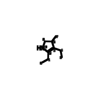 CCC1=C(CC)C(C)CN1